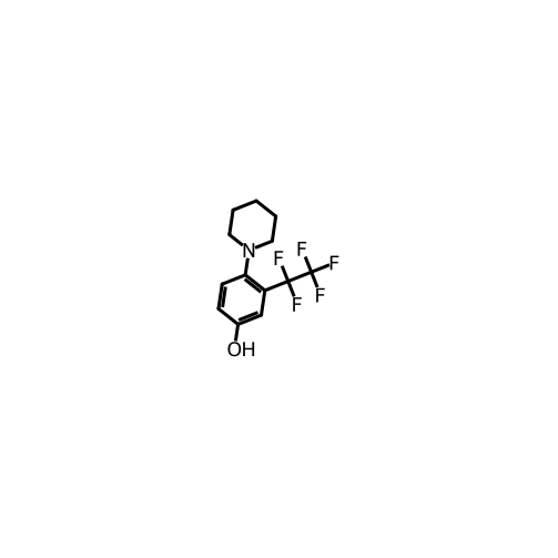 Oc1ccc(N2CCCCC2)c(C(F)(F)C(F)(F)F)c1